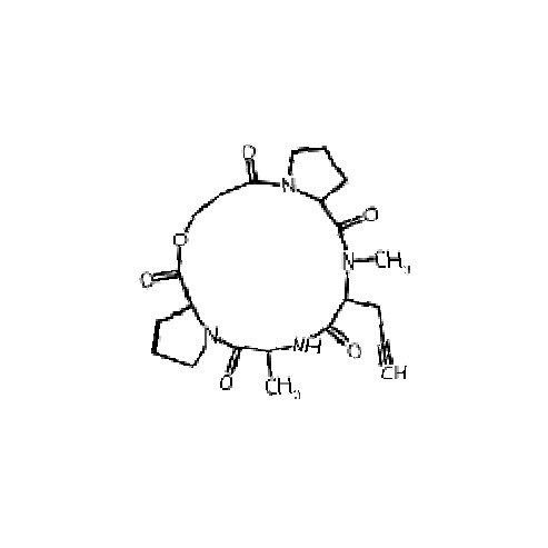 C#CCC1C(=O)NC(C)C(=O)N2CCCC2C(=O)OCCC(=O)N2CCCC2C(=O)N1C